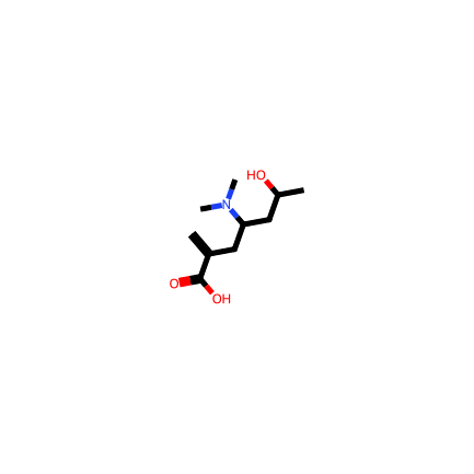 C=C(CC(CC(C)O)N(C)C)C(=O)O